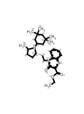 CCOC(=O)c1nc2ccccc2n(CC[C@@H]2CCC(C)N2C2CC(C)(C)CC(C)(C)C2)c1=O